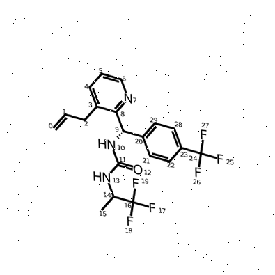 C=CCc1cccnc1[C@@H](NC(=O)NC(C)C(F)(F)F)c1ccc(C(F)(F)F)cc1